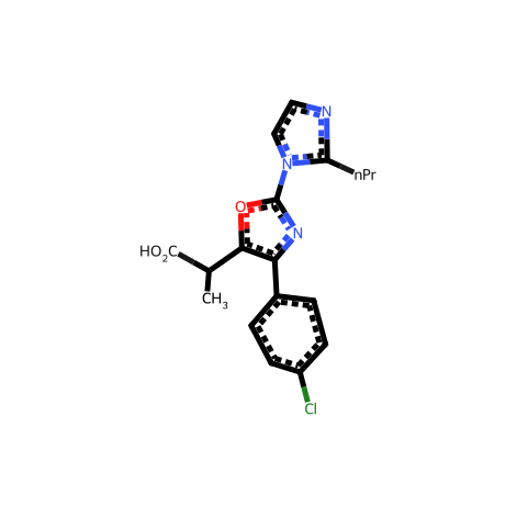 CCCc1nccn1-c1nc(-c2ccc(Cl)cc2)c(C(C)C(=O)O)o1